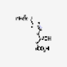 CCCCCCCC/C=C\CC(O)CC(=O)O